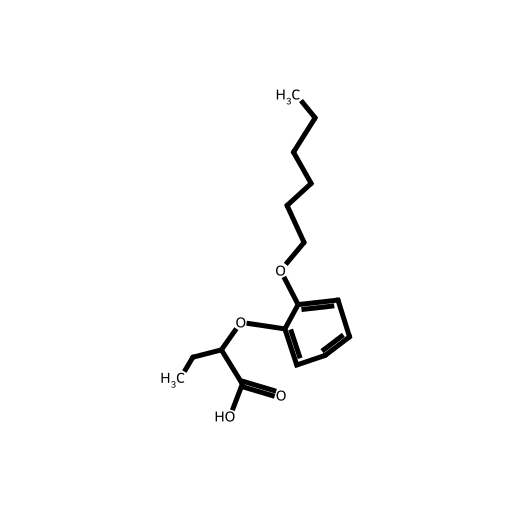 CCCCCCOc1ccccc1OC(CC)C(=O)O